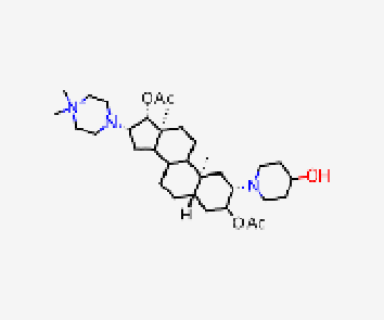 CC(=O)O[C@H]1C[C@@H]2CCC3C4C[C@H](N5CC[N+](C)(C)CC5)[C@H](OC(C)=O)[C@@]4(C)CCC3[C@@]2(C)C[C@@H]1N1CCC(O)CC1